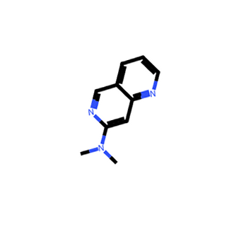 CN(C)c1cc2ncccc2cn1